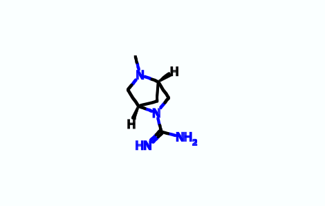 CN1C[C@@H]2C[C@H]1CN2C(=N)N